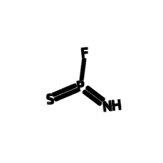 N=P(F)=S